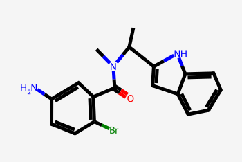 CC(c1cc2ccccc2[nH]1)N(C)C(=O)c1cc(N)ccc1Br